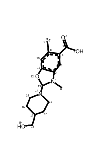 CN1c2cc(C(=O)O)c(Br)cc2OC1N1CCC(CO)CC1